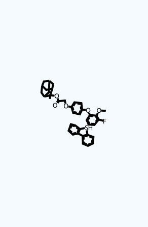 COc1c(F)cc([SH]2c3ccccc3-c3ccccc32)cc1Oc1ccc(OCC(=O)OC2(C)C3CC4CC(C3)CC2C4)cc1